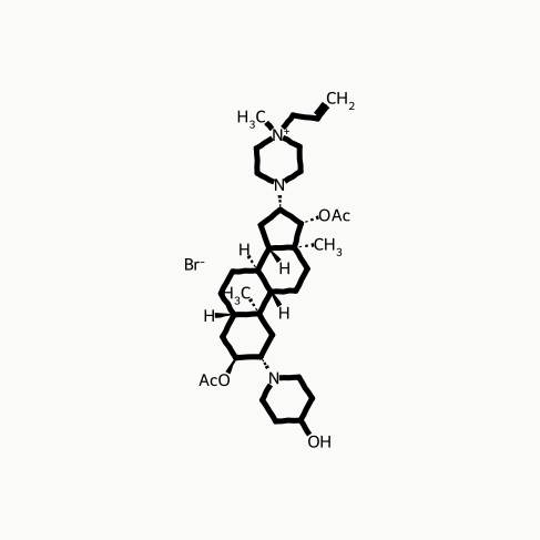 C=CC[N+]1(C)CCN([C@H]2C[C@H]3[C@@H]4CC[C@H]5C[C@H](OC(C)=O)[C@@H](N6CCC(O)CC6)C[C@]5(C)[C@H]4CC[C@]3(C)[C@H]2OC(C)=O)CC1.[Br-]